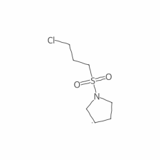 O=S(=O)(CCCCl)N1C[CH]CC1